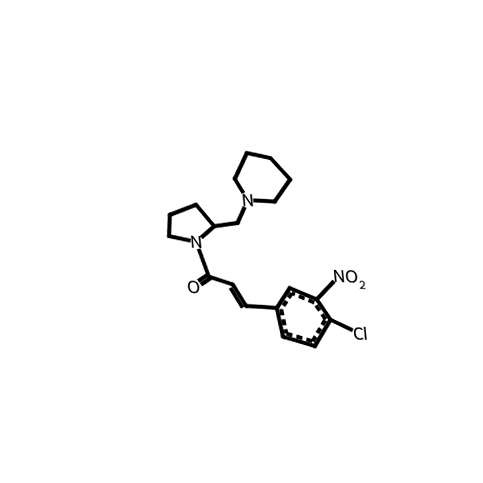 O=C(C=Cc1ccc(Cl)c([N+](=O)[O-])c1)N1CCCC1CN1CCCCC1